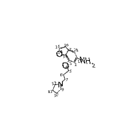 Nc1cc(OCCCN2CCCC2)c2occc2c1